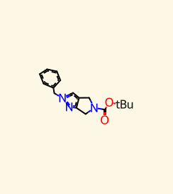 CC(C)(C)OC(=O)N1Cc2cn(Cc3ccccc3)nc2C1